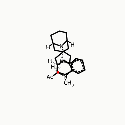 CC(=O)CN(C)c1ccccc1N(C)[C@H]1C[C@H]2CCC[C@@H](C1)N2[C@H]1C[C@@H]2CCC[C@@H](C2)C1